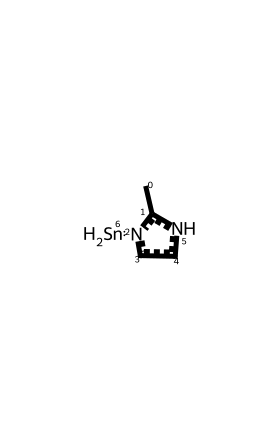 Cc1ncc[nH]1.[SnH2]